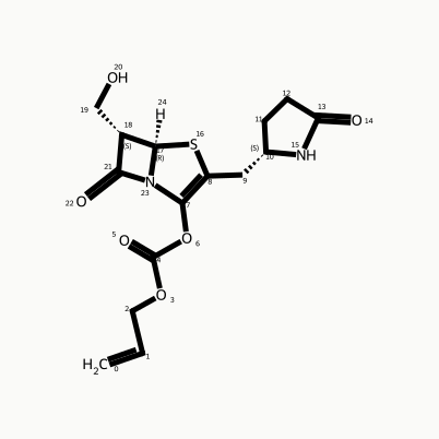 C=CCOC(=O)OC1=C(C[C@@H]2CCC(=O)N2)S[C@@H]2[C@@H](CO)C(=O)N12